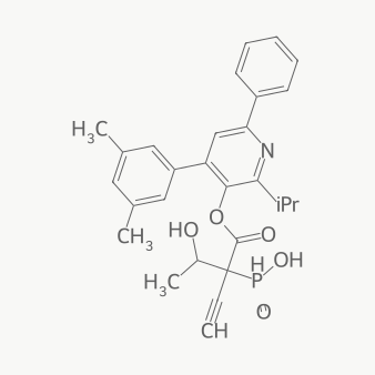 C#CC(C(=O)Oc1c(-c2cc(C)cc(C)c2)cc(-c2ccccc2)nc1C(C)C)(C(C)O)[PH](=O)O